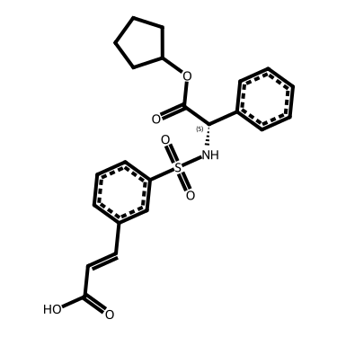 O=C(O)C=Cc1cccc(S(=O)(=O)N[C@H](C(=O)OC2CCCC2)c2ccccc2)c1